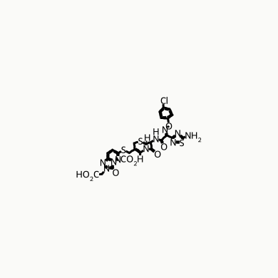 Nc1nc(C(=NOc2ccc(Cl)cc2)C(=O)NC2C(=O)N3C(C(=O)O)=C(CSc4ccc5nn(CC(=O)O)c(=O)n5n4)CS[C@@H]23)ns1